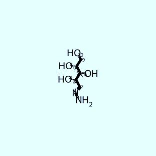 NN=C[C@H](O)[C@H](O)[C@H](O)CO